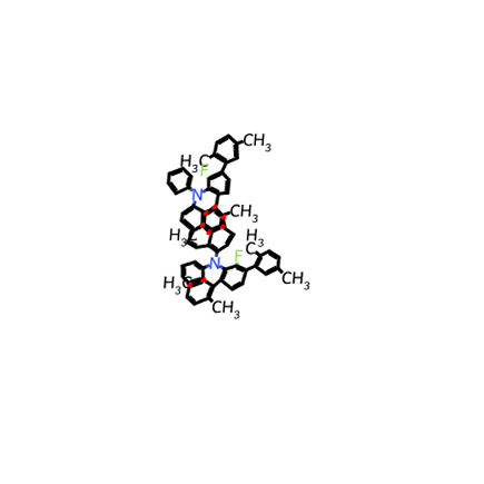 Cc1ccc(C)c(-c2ccc(-c3cc(C)ccc3C)c(N(c3ccccc3)c3ccc4ccc5c(N(c6ccccc6)c6c(-c7cc(C)ccc7C)ccc(-c7cc(C)ccc7C)c6F)ccc6ccc3c4c65)c2F)c1